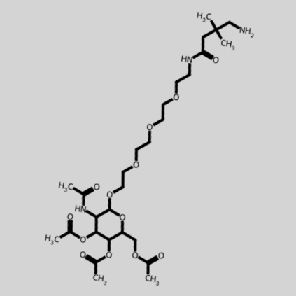 CC(=O)NC1C(OCCOCCOCCOCCNC(=O)CC(C)(C)CN)OC(COC(C)=O)C(OC(C)=O)C1OC(C)=O